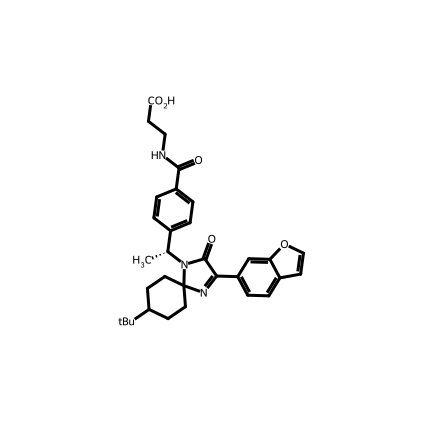 C[C@H](c1ccc(C(=O)NCCC(=O)O)cc1)N1C(=O)C(c2ccc3ccoc3c2)=NC12CCC(C(C)(C)C)CC2